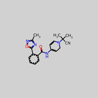 Cc1noc(-c2ccccc2C(=O)NC2=CCN(C(C)(C)C#N)C=C2)n1